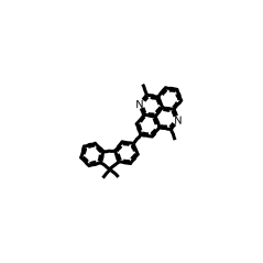 Cc1nc2cc(-c3ccc4c(c3)-c3ccccc3C4(C)C)cc3c(C)nc4cccc1c4c23